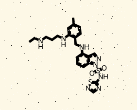 CCNCCCNc1cc(C)ccc1CNc1cccc2c1cnn2S(=O)(=O)Nc1ncns1